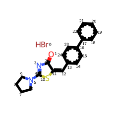 Br.O=C1N=C(N2CCCC2)S/C1=C/c1ccc(-c2ccccc2)cc1